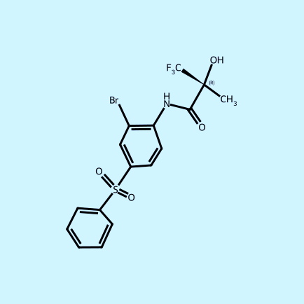 C[C@@](O)(C(=O)Nc1ccc(S(=O)(=O)c2ccccc2)cc1Br)C(F)(F)F